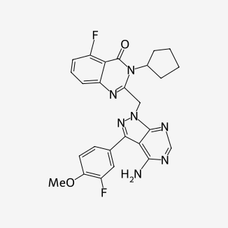 COc1ccc(-c2nn(Cc3nc4cccc(F)c4c(=O)n3C3CCCC3)c3ncnc(N)c23)cc1F